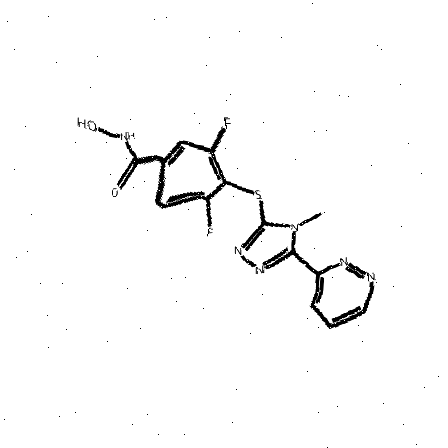 Cn1c(Sc2c(F)cc(C(=O)NO)cc2F)nnc1-c1cccnn1